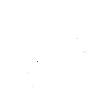 COc1ccc(-c2[o+]c3cc(O)cc(O)c3cc2O[C@@H]2O[C@H](CO)[C@H](O)[C@H]2O)cc1O